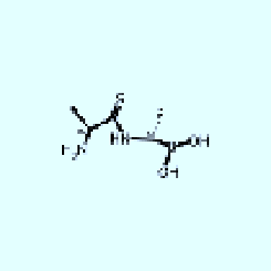 C[C@H](N)C(=S)N[C@H](C)B(O)O